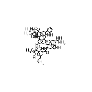 C[C@@H](O)[C@H](N)C(=O)N[C@@H](CCCCN)C(=O)N[C@@H](Cc1c[nH]cn1)C(=O)N[C@@H](CCCNC(=N)N)C(=O)N1CCC[C@H]1C(=O)N[C@@H](Cc1c[nH]c2ccccc12)C(=O)N[C@H](C(N)=O)[C@@H](C)O